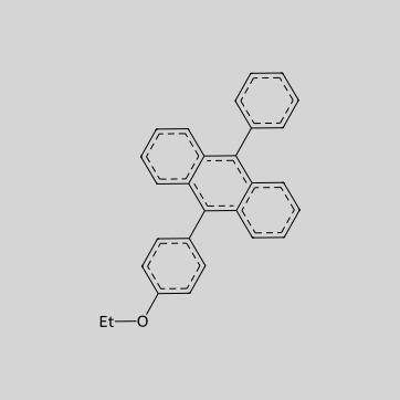 CCOc1ccc(-c2c3ccccc3c(-c3ccccc3)c3ccccc23)cc1